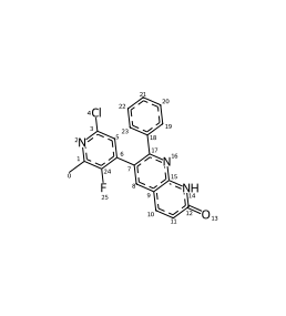 Cc1nc(Cl)cc(-c2cc3ccc(=O)[nH]c3nc2-c2ccccc2)c1F